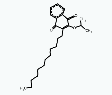 CCCCCCCCCCCCC1=C(OC(C)C)C(=O)c2ccccc2C1=O